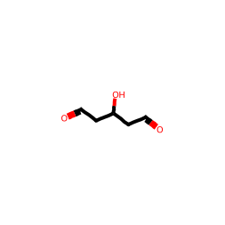 O=[C]CC(O)C[C]=O